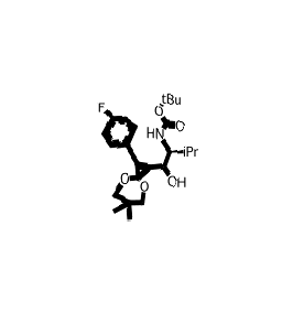 CC(C)[C@H](NC(=O)OC(C)(C)C)C(O)C1=C(c2ccc(F)cc2)C12OCC(C)(C)CO2